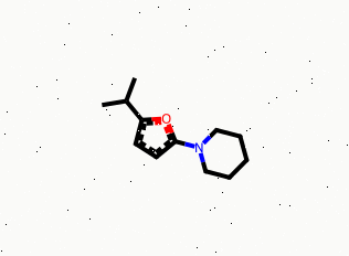 CC(C)c1ccc(N2CCCCC2)o1